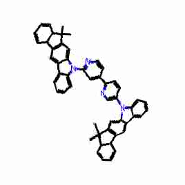 CC1(C)c2cc3c(cc2C2C=CC=CC21)c1ccccc1n3-c1ccc(-c2ccnc(-n3c4ccccc4c4cc5c(cc43)C(C)(C)C3C=CC=CC53)c2)nc1